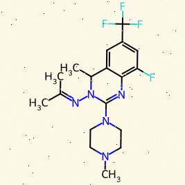 CC(C)=NN1C(N2CCN(C)CC2)=Nc2c(F)cc(C(F)(F)F)cc2C1C